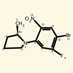 C[C@@H]1CCCN1c1cc(F)c(Br)cc1[N+](=O)[O-]